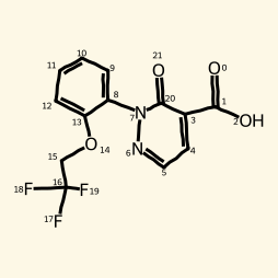 O=C(O)c1ccnn(-c2ccccc2OCC(F)(F)F)c1=O